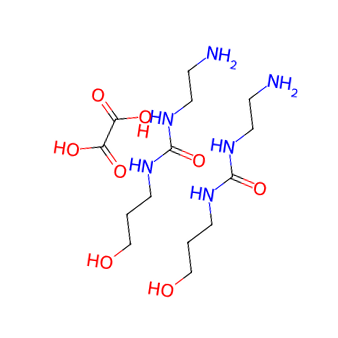 NCCNC(=O)NCCCO.NCCNC(=O)NCCCO.O=C(O)C(=O)O